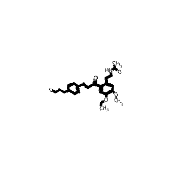 CCOc1cc(C(=O)CCc2ccc(CCC=O)cc2)c(CCNC(C)=O)cc1OC